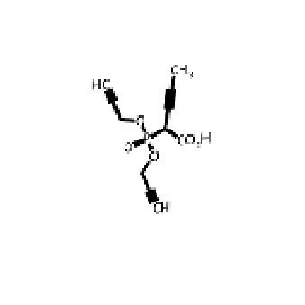 C#CCOP(=O)(OCC#C)C(C#CC)C(=O)O